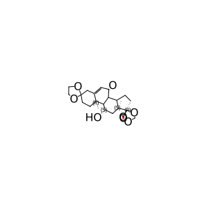 C[C@]12CCC3(CC1=CC(=O)C1C2[C@@H](O)C[C@@]2(C)C1CC[C@@]21OCOC12COCO2)OCCO3